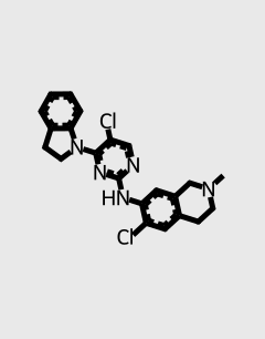 CN1CCc2cc(Cl)c(Nc3ncc(Cl)c(N4CCc5ccccc54)n3)cc2C1